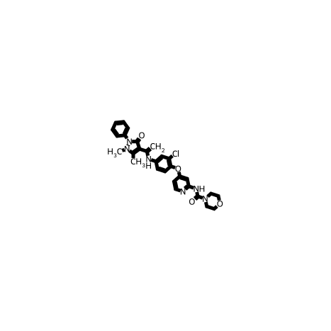 C=C(Nc1ccc(Oc2ccnc(NC(=O)N3CCOCC3)c2)c(Cl)c1)c1c(C)n(C)n(-c2ccccc2)c1=O